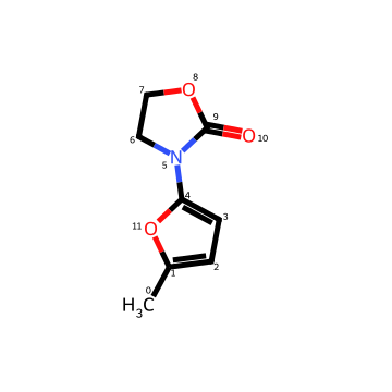 Cc1ccc(N2CCOC2=O)o1